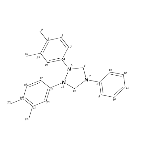 Cc1ccc(N2CN(c3ccccc3)CN2c2ccc(C)c(C)c2)cc1C